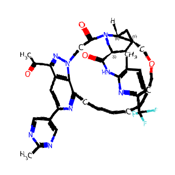 CC(=O)c1nn2c3c(nc(-c4cnc(C)nc4)cc13)CCCCCCCOC[C@@]13C[C@@H](C(=O)Nc4nc(C(F)(F)F)ccc4C)N(C(=O)C2)[C@@H]1C3